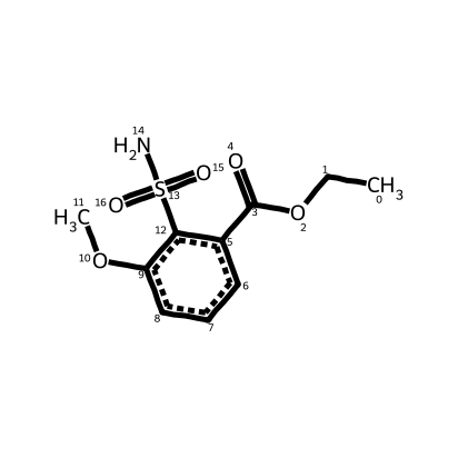 CCOC(=O)c1cccc(OC)c1S(N)(=O)=O